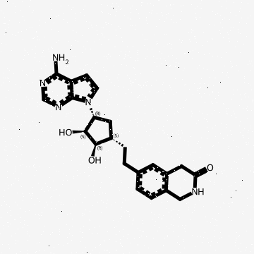 Nc1ncnc2c1ccn2[C@@H]1C[C@H](CCc2ccc3c(c2)CC(=O)NC3)[C@@H](O)[C@H]1O